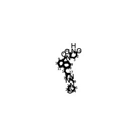 O=C1CCC(N2C(=O)c3cccc4c(Cc5cnc(CN6CCOCC6)nc5)ccc2c34)C(=O)N1